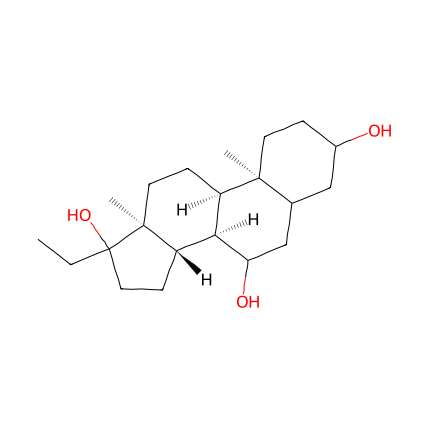 CCC1(O)CC[C@H]2[C@@H]3C(O)CC4CC(O)CC[C@]4(C)[C@@H]3CC[C@@]21C